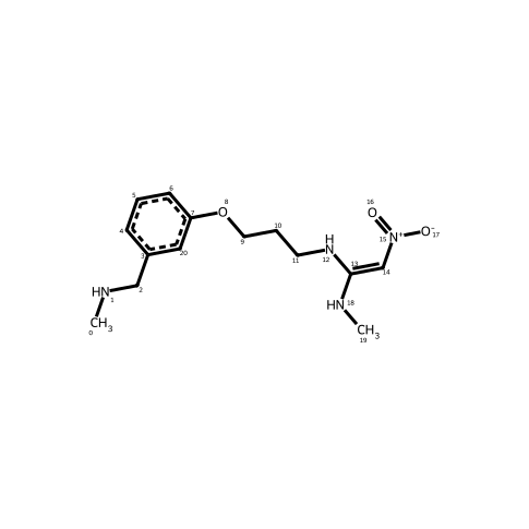 CNCc1cccc(OCCCN/C(=C\[N+](=O)[O-])NC)c1